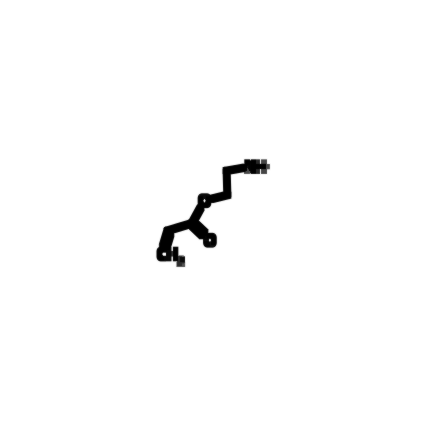 C=CC(=O)OCC[NH]